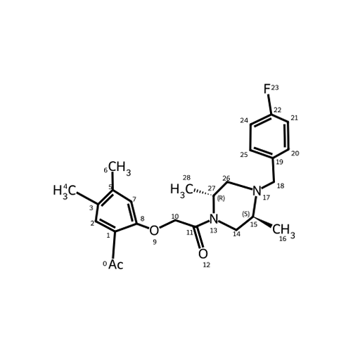 CC(=O)c1cc(C)c(C)cc1OCC(=O)N1C[C@H](C)N(Cc2ccc(F)cc2)C[C@H]1C